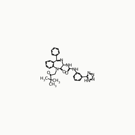 CC(C)(C)C(=O)CN1C(=O)C(NC(=O)Nc2cccc(-c3nnn[nH]3)c2)N=C(c2ccccc2)c2ccccc21